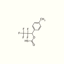 Cc1ccc(C(OC(=O)S)C(F)(F)C(F)(F)F)cc1